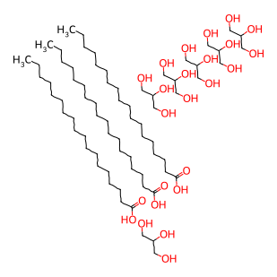 CCCCCCCCCCCCCCCCCC(=O)O.CCCCCCCCCCCCCCCCCC(=O)O.CCCCCCCCCCCCCCCCCC(=O)O.OCC(O)CO.OCC(O)CO.OCC(O)CO.OCC(O)CO.OCC(O)CO.OCC(O)CO